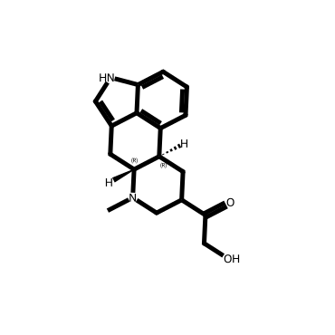 CN1CC(C(=O)CO)C[C@@H]2c3cccc4[nH]cc(c34)C[C@H]21